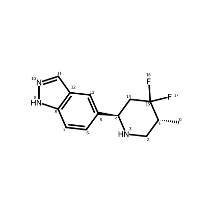 C[C@@H]1CN[C@@H](c2ccc3[nH]ncc3c2)CC1(F)F